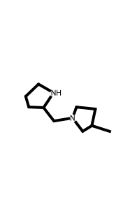 CC1CCN(CC2CCCN2)C1